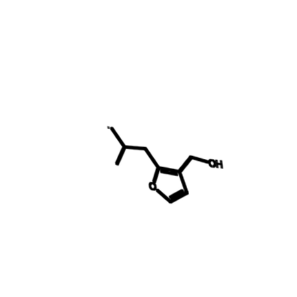 [CH2]C(C)Cc1occc1CO